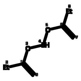 C=C(CC)OBOC(=C)CC